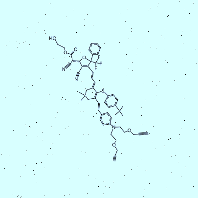 C#CCOCCN(CCOCC#C)c1ccc(/C=C/C2=C(Sc3ccc(C(C)(C)C)cc3)C(=C/C=C/C3=C(C#N)C(=C(\C#N)C(=O)OCCO)/OC3(c3ccccc3)C(F)(F)F)/CC(C)(C)C2)cc1